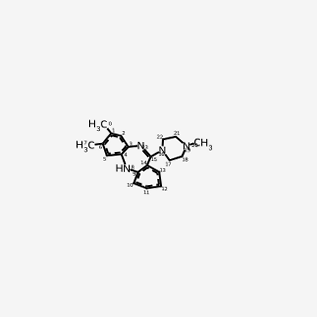 Cc1cc2c(cc1C)Nc1ccccc1C(N1CCN(C)CC1)=N2